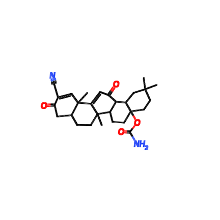 CC1(C)CCC2(OC(N)=O)CCC3C(C(=O)C=C4C5(C)C=C(C#N)C(=O)CC5CCC43C)C2C1